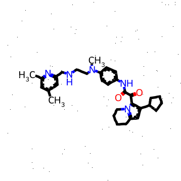 Cc1cc(C)nc(CNCCN(C)c2ccc(NC(=O)C(=O)c3c(C4CCCC4)cc4n3CCCC4)cc2)c1